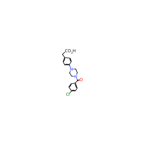 O=C(O)Cc1ccc(N2CCN(C(=O)c3ccc(Cl)cc3)CC2)cc1